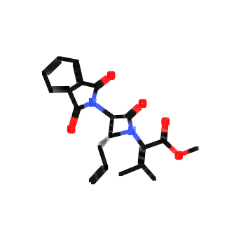 C=CC[C@@H]1C(N2C(=O)c3ccccc3C2=O)C(=O)N1C(C(=O)OC)=C(C)C